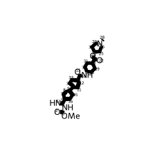 COC(=O)NC(=N)c1ccc(-c2ccc(C(=O)NC3CCC(C(=O)OC4CCN(C)CC4)CC3)cc2)cc1